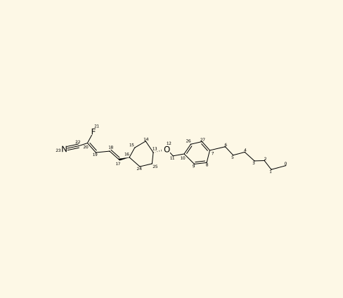 CCCCCCCc1ccc(CO[C@H]2CC[C@H](C=CC=C(F)C#N)CC2)cc1